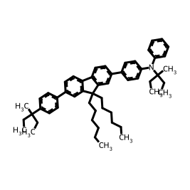 CCCCCCC1(CCCCCC)c2cc(-c3ccc(N(c4ccccc4)C(C)(CC)CC)cc3)ccc2-c2ccc(-c3ccc(C(C)(CC)CC)cc3)cc21